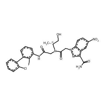 C[C@H](CO)N(CC(=O)Nc1cccc(-c2ccccc2Cl)c1F)C(=O)Cn1nc(C(N)=O)c2cc([N+](=O)[O-])ccc21